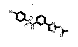 CC(=O)Nc1nc(-c2cccc(NS(=O)(=O)c3ccc(Br)cc3)c2)cs1